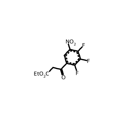 CCOC(=O)CC(=O)c1cc([N+](=O)[O-])c(F)c(F)c1F